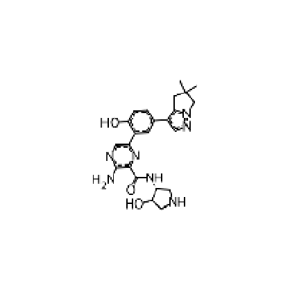 CC1(C)Cc2c(-c3ccc(O)c(-c4cnc(N)c(C(=O)N[C@@H]5CNC[C@H]5O)n4)c3)cnn2C1